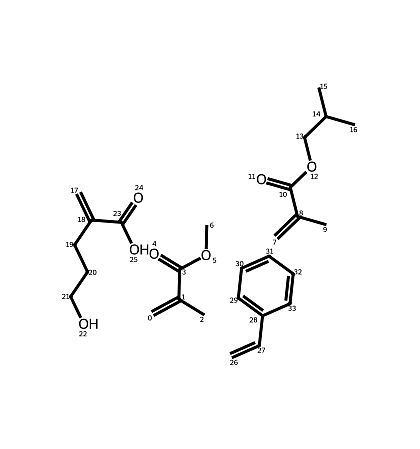 C=C(C)C(=O)OC.C=C(C)C(=O)OCC(C)C.C=C(CCCO)C(=O)O.C=Cc1ccccc1